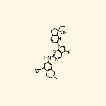 CCC1(O)CCc2ccc(-n3cc(F)c4cnc(Nc5cc6c(c(C7CC7)c5)CCN(C)C6)nc43)nc21